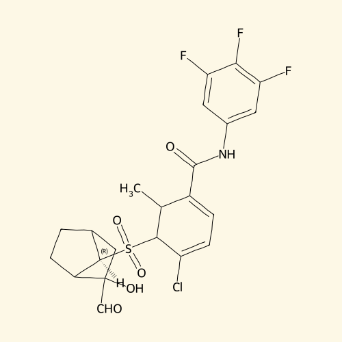 CC1C(C(=O)Nc2cc(F)c(F)c(F)c2)=CC=C(Cl)C1S(=O)(=O)[C@@H]1C2CCC1C(O)(C=O)C2